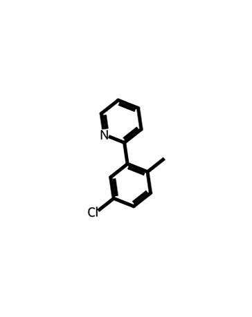 Cc1ccc(Cl)cc1-c1ccccn1